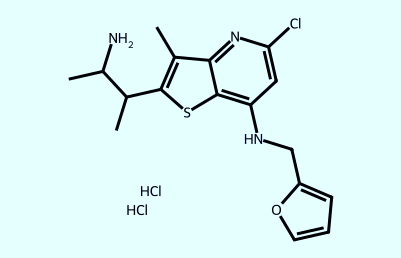 Cc1c(C(C)C(C)N)sc2c(NCc3ccco3)cc(Cl)nc12.Cl.Cl